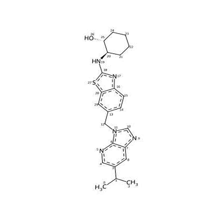 CC(C)c1cnc2c(c1)ncn2Cc1ccc2nc(N[C@@H]3CCCC[C@H]3O)sc2c1